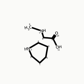 C1CCNCC1.CNCC(=O)O